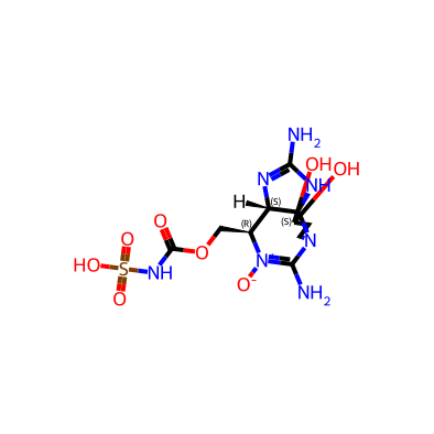 NC1=N[C@H]2[C@H](COC(=O)NS(=O)(=O)O)[N+]([O-])=C(N)N3CCC(O)(O)[C@]23N1